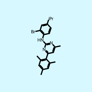 Cc1cc(C)c(-c2cc(C)nc(Nc3ccc(C(C)C)cc3Br)n2)c(C)c1